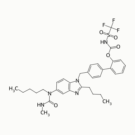 CCCCCN(C(=O)NC)c1ccc2c(c1)nc(CCCC)n2Cc1ccc(-c2ccccc2OC(=O)NS(=O)(=O)C(F)(F)F)cc1